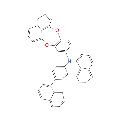 c1ccc2c(-c3ccc(N(c4ccc5c(c4)Oc4cccc6cccc(c46)O5)c4cccc5ccccc45)cc3)cccc2c1